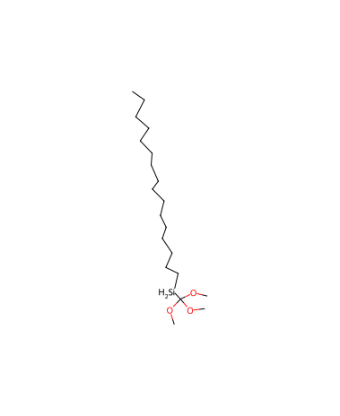 CCCCCCCCCCCCCCCC[SiH2]C(OC)(OC)OC